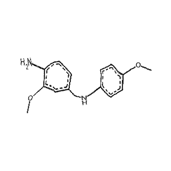 COc1ccc(Nc2ccc(N)c(OC)c2)cc1